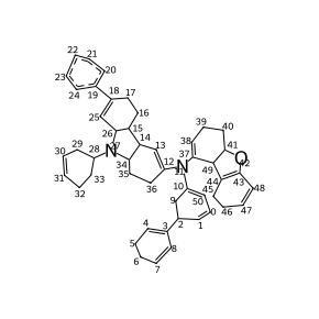 C1=CC(C2=CCCC=C2)CC(N(C2=CC3C4CCC(c5ccccc5)=CC4N(C4CC=CCC4)C3CC2)C2=CCCC3OC4=C(CCC=C4)C23)=C1